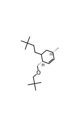 C[C@@H]1C=C[C@H](COCC(C)(C)C)C(CCC(C)(C)C)C1